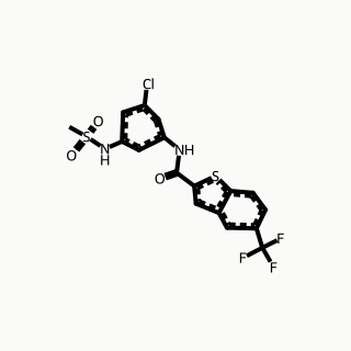 CS(=O)(=O)Nc1cc(Cl)cc(NC(=O)c2cc3cc(C(F)(F)F)ccc3s2)c1